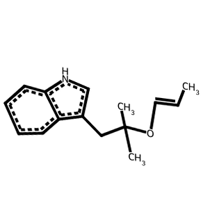 C/C=C/OC(C)(C)Cc1c[nH]c2ccccc12